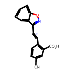 N#Cc1ccc(/C=C/c2noc3ccccc23)c(C(=O)O)c1